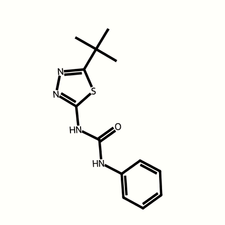 CC(C)(C)c1nnc(NC(=O)Nc2ccccc2)s1